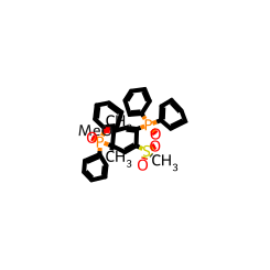 COC1(C)C=C(P(=O)(c2ccccc2)c2ccccc2)C(S(C)(=O)=O)=CC1(C)P(=O)(c1ccccc1)c1ccccc1